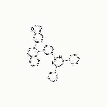 c1ccc(-c2cc(-c3ccccc3)nc(-c3cccc(-c4c(-c5ccc6ncoc6c5)ccc5ccccc45)c3)n2)cc1